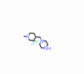 CN1CCC(CN2CCNCC2)C(F)(F)C1